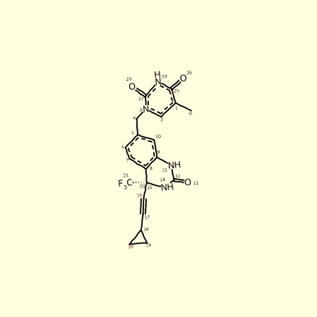 Cc1cn(Cc2ccc3c(c2)NC(=O)N[C@]3(C#CC2CC2)C(F)(F)F)c(=O)[nH]c1=O